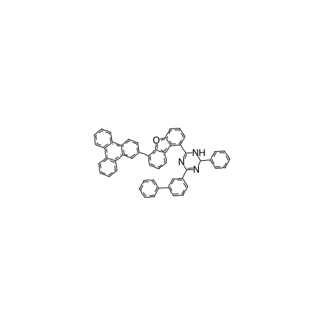 c1ccc(-c2cccc(C3=NC(c4ccccc4)NC(c4cccc5oc6c(-c7ccc8c9ccccc9c9ccccc9c8c7)cccc6c45)=N3)c2)cc1